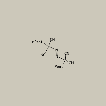 CCCCCC(C#N)(C#N)N=NC(C#N)(C#N)CCCCC